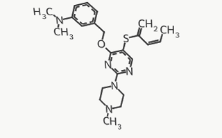 C=C(/C=C\C)Sc1cnc(N2CCN(C)CC2)nc1OCc1cccc(N(C)C)c1